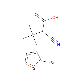 Brc1cccs1.CC(C)(C)C(C#N)C(=O)O